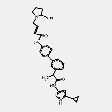 CC(C(=O)Nc1cc(C2CC2)[nH]n1)c1cccc(-c2ccc(NC(=O)C=CCN3CCCC3C#N)nc2)c1